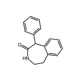 O=C1NCCc2ccccc2C1c1ccccc1